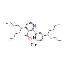 CCCCC(CCCC)c1ccnc(-c2nccc(C(CCCC)CCCC)c2C(C)=O)c1.[Cu]